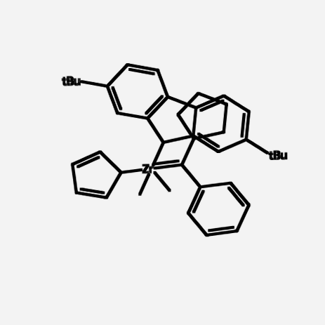 CC(C)(C)c1ccc2c(c1)[CH]([Zr]([CH3])([CH3])(=[C](c1ccccc1)C1CCCC1)[CH]1C=CC=C1)c1cc(C(C)(C)C)ccc1-2